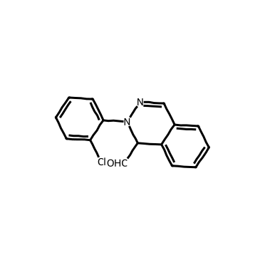 O=CC1c2ccccc2C=NN1c1ccccc1Cl